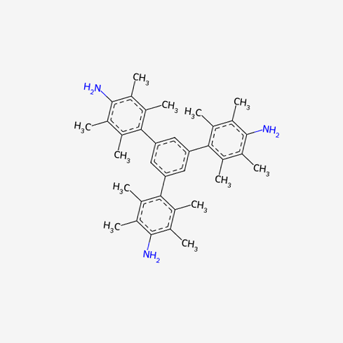 Cc1c(C)c(-c2cc(-c3c(C)c(C)c(N)c(C)c3C)cc(-c3c(C)c(C)c(N)c(C)c3C)c2)c(C)c(C)c1N